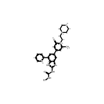 CCNC(=O)Nc1nc2cc(-c3cc(C)n(CCN4CCOCC4)c(=O)c3)cc(-c3ccccn3)c2[nH]1